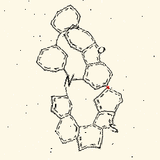 c1ccc(-c2cccc(N(c3ccc4ccc5ccc6sc7ccccc7c6c5c4c3)c3cccc4oc5ccccc5c34)c2)cc1